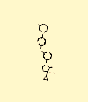 N#C[C@@]1(C2CC2)CCN(c2ccnc(Nc3ccc(N4CCC[C@H](O)C4)cn3)c2)C1=O